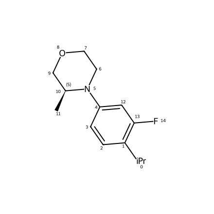 CC(C)c1ccc(N2CCOC[C@@H]2C)cc1F